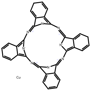 C1=Cc2c3[n-]/c(c2=CC1)=N\c1[n-]/c(c2c1C=CCC=2)=N\c1[n-]c(c2ccccc12)/N=c1\[n-]/c(c2ccccc12)=N\3.[Cu]